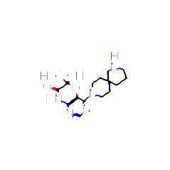 CC1(C)Oc2c(ncnc2N2CCC3(CCCNC3)CC2)NC1=O